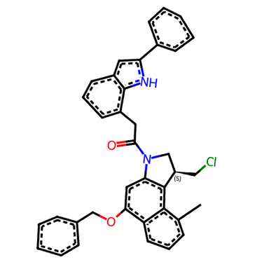 Cc1cccc2c(OCc3ccccc3)cc3c(c12)[C@H](CCl)CN3C(=O)Cc1cccc2cc(-c3ccccc3)[nH]c12